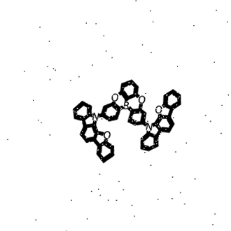 c1cc2c3c(c1)Oc1cc(-n4c5ccccc5c5ccc6c7ccccc7oc6c54)ccc1B3c1ccc(-n3c4ccccc4c4ccc5c6ccccc6oc5c43)cc1O2